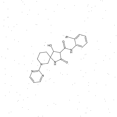 CC(C)c1ccccc1NC(=O)C1C(=O)NC2(CCCN(c3ncccn3)C2)C1O